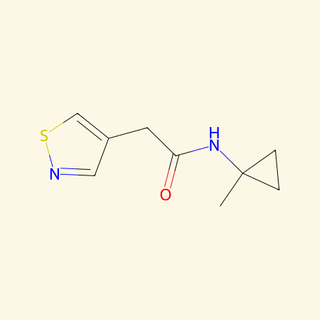 CC1(NC(=O)Cc2cnsc2)CC1